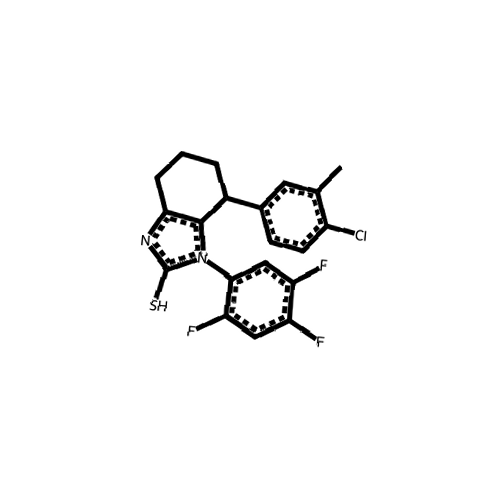 Cc1cc(C2CCCc3nc(S)n(-c4cc(F)c(F)cc4F)c32)ccc1Cl